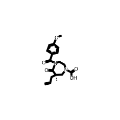 C=CC[C@]1(C)CN(C(=O)O)CCN(C(=O)c2ccc(OC)cc2)C1=O